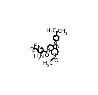 C=CC(=O)N1CCc2nn(-c3ccc(C(C)C)cc3)c3c2C(C1)N(C(=O)c1cnc(C(F)(F)F)cc1N)CC3